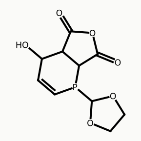 O=C1OC(=O)C2C1C(O)C=CP2C1OCCO1